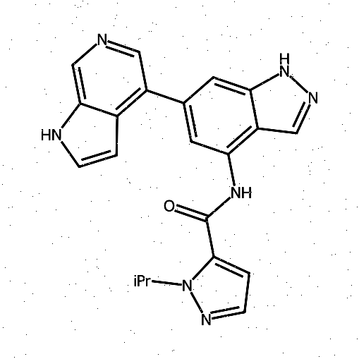 CC(C)n1nccc1C(=O)Nc1cc(-c2cncc3[nH]ccc23)cc2[nH]ncc12